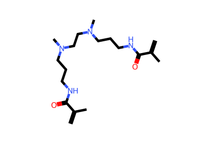 C=C(C)C(=O)NCCCN(C)CCN(C)CCCNC(=O)C(=C)C